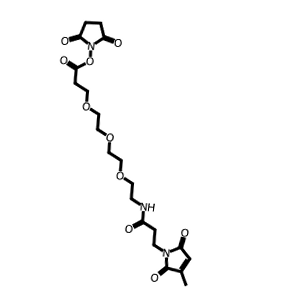 CC1=CC(=O)N(CCC(=O)NCCOCCOCCOCCC(=O)ON2C(=O)CCC2=O)C1=O